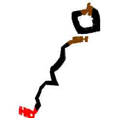 OCCCCCCS.c1ccsc1